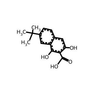 CC(C)(C)c1ccc2cc(O)c(C(=O)O)c(O)c2c1